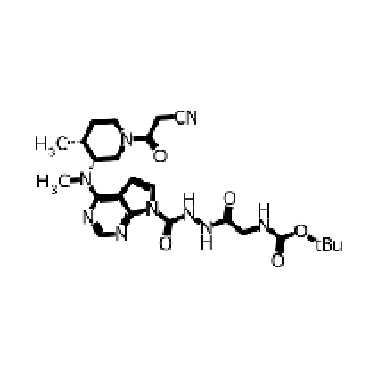 C[C@@H]1CCN(C(=O)CC#N)C[C@@H]1N(C)c1ncnc2c1ccn2C(=O)NNC(=O)CNC(=O)OC(C)(C)C